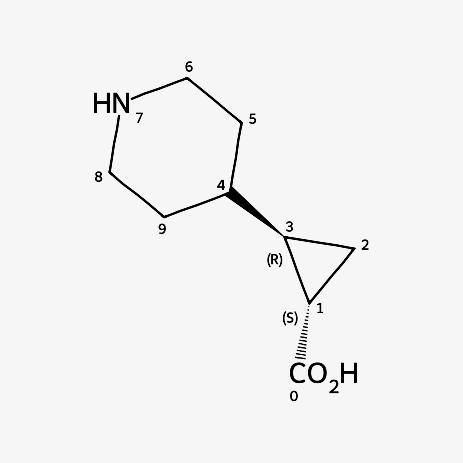 O=C(O)[C@H]1C[C@@H]1C1CCNCC1